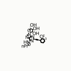 CCCONc1nc(C#Cc2ccccc2C(F)(F)F)nc2c1ncn2[C@@H]1O[C@H](CO)[C@@H](O)[C@H]1O